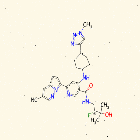 Cn1cc(C2CCC(Nc3cc(-c4ccc5cc(C#N)cnn45)ncc3C(=O)NC[C@@H](F)C(C)(C)O)CC2)nn1